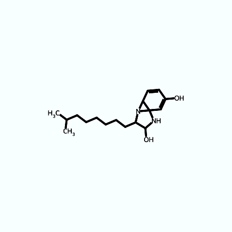 CC(C)CCCCCCC1C(O)NC23C=C(O)C=CC2N13